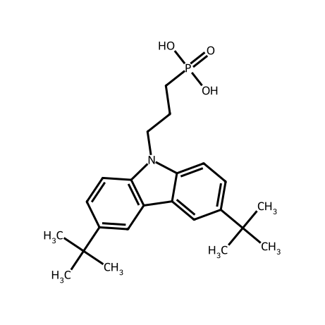 CC(C)(C)c1ccc2c(c1)c1cc(C(C)(C)C)ccc1n2CCCP(=O)(O)O